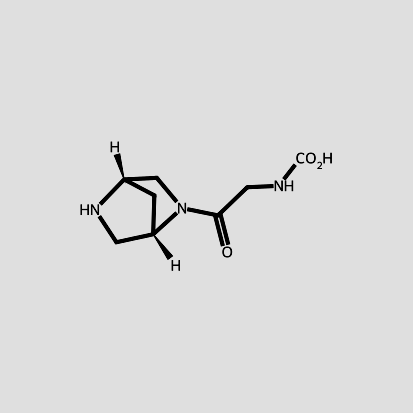 O=C(O)NCC(=O)N1C[C@@H]2C[C@H]1CN2